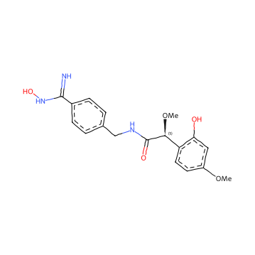 COc1ccc([C@H](OC)C(=O)NCc2ccc(C(=N)NO)cc2)c(O)c1